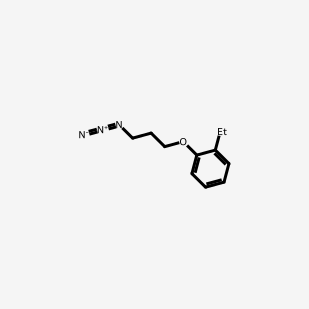 CCc1ccccc1OCCCN=[N+]=[N-]